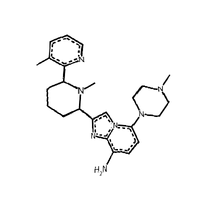 Cc1cccnc1C1CCCC(c2cn3c(N4CCN(C)CC4)ccc(N)c3n2)N1C